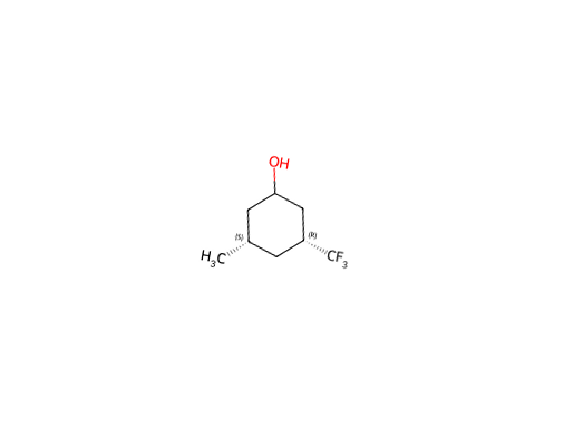 C[C@@H]1CC(O)C[C@H](C(F)(F)F)C1